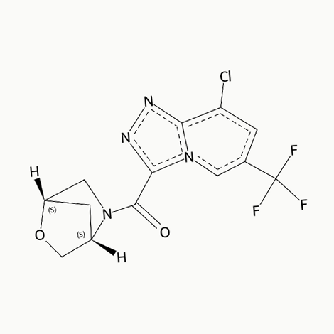 O=C(c1nnc2c(Cl)cc(C(F)(F)F)cn12)N1C[C@@H]2C[C@H]1CO2